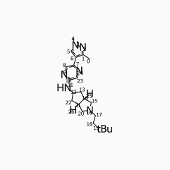 Cc1nn(C)cc1-c1cnc(NC2C[C@@H]3CN(CCC(C)(C)C)C[C@@H]3C2)cn1